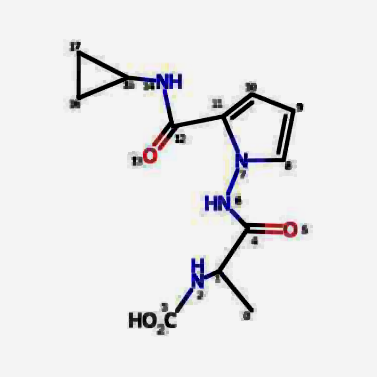 CC(NC(=O)O)C(=O)Nn1cccc1C(=O)NC1CC1